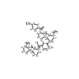 CCc1ccc(N(I)c2cccc3c2sc2c(C(C)C)ccc(-c4cc(N(I)c5cccc6c5sc5c(C(C)C)cccc56)ccc4C)c23)cc1